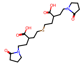 O=C(O)C(CCSCCC(CCN1CCCC1=O)C(=O)O)CCN1CCCC1=O